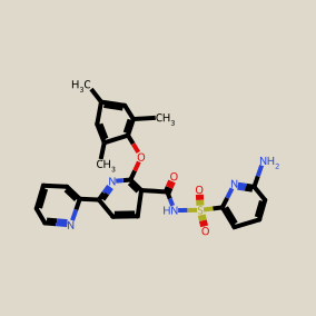 Cc1cc(C)c(Oc2nc(-c3ccccn3)ccc2C(=O)NS(=O)(=O)c2cccc(N)n2)c(C)c1